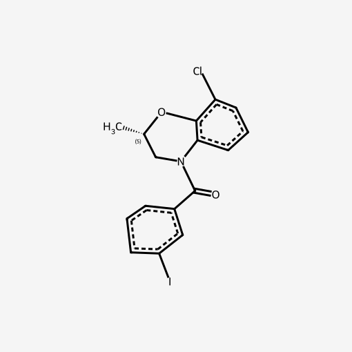 C[C@H]1CN(C(=O)c2cccc(I)c2)c2cccc(Cl)c2O1